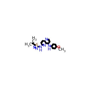 COc1ccc(Nc2ccnc3ccc(Nc4nnc(C(C)C)s4)nc23)cc1